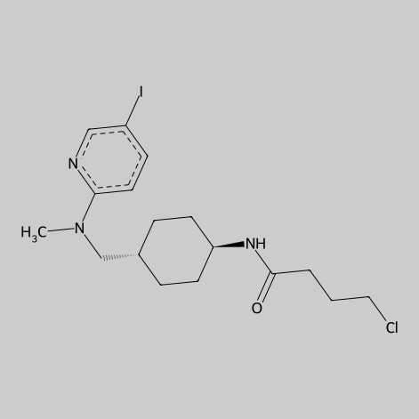 CN(C[C@H]1CC[C@H](NC(=O)CCCCl)CC1)c1ccc(I)cn1